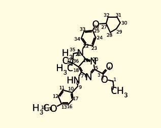 CCOC(=O)c1nc(NCc2ccc(OC)cc2)c2c(n1)N(c1ccc(OC3CCCCC3)cc1)CC2(C)C